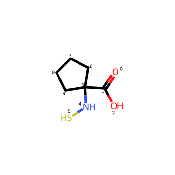 O=C(O)C1(NS)CCCC1